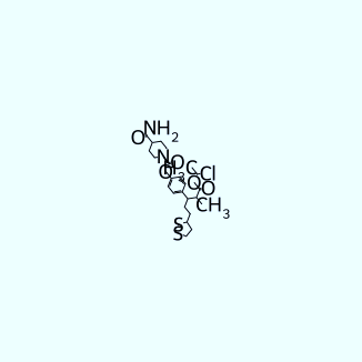 CC(Cl)OC(=O)C(C)C(CCC1CCSS1)c1ccc(OC(=O)N2CCC(C(N)=O)CC2)cc1